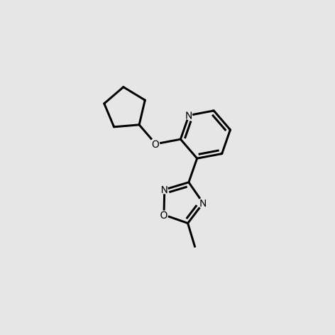 Cc1nc(-c2cccnc2OC2CCCC2)no1